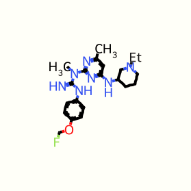 CCN1CCCC(Nc2cc(C)nc(N(C)C(=N)Nc3ccc(OCF)cc3)n2)C1